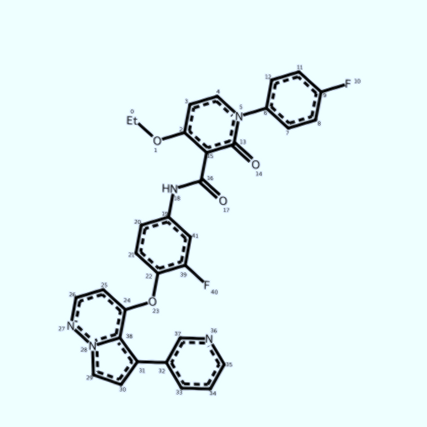 CCOc1ccn(-c2ccc(F)cc2)c(=O)c1C(=O)Nc1ccc(Oc2ccnn3ccc(-c4cccnc4)c23)c(F)c1